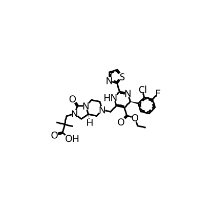 CCOC(=O)C1=C(CN2CCN3C(=O)N(CC(C)(C)C(=O)O)C[C@@H]3C2)NC(c2nccs2)=N[C@H]1c1cccc(F)c1Cl